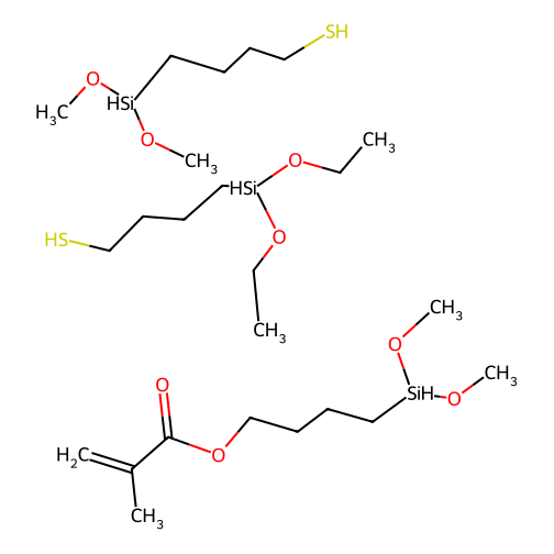 C=C(C)C(=O)OCCCC[SiH](OC)OC.CCO[SiH](CCCCS)OCC.CO[SiH](CCCCS)OC